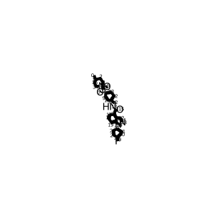 CC1CCN(S(=O)(=O)c2ccc(CNC(=O)c3cccc4c3cnn4-c3ccc(F)cc3)cc2)CC1